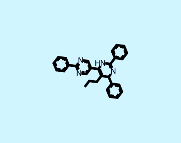 CCCC1=C(c2cnc(-c3ccccc3)nc2)NC(c2ccccc2)=NC1c1ccccc1